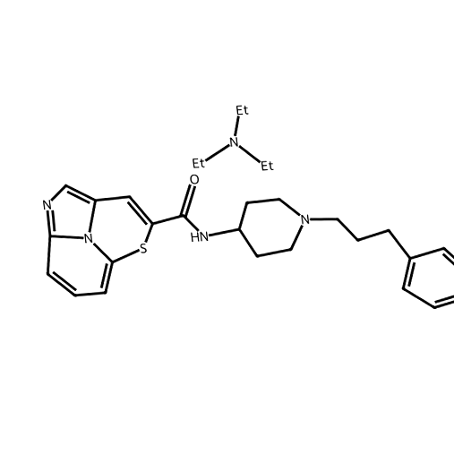 CCN(CC)CC.O=C(NC1CCN(CCCc2ccccc2)CC1)C1=Cc2cnc3cccc(n23)S1